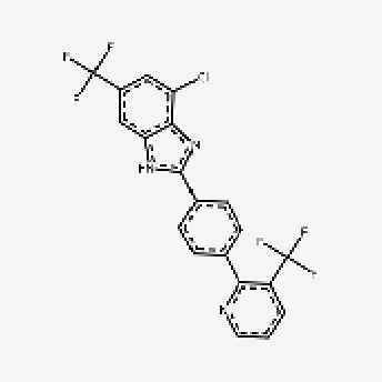 FC(F)(F)c1cc(Cl)c2nc(-c3ccc(-c4ncccc4C(F)(F)F)cc3)[nH]c2c1